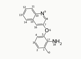 Cc1cccc(Oc2cnc3ccccc3c2)c1N